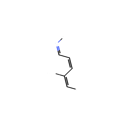 C\C=C(/C=C\C=N/C)C(=O)O